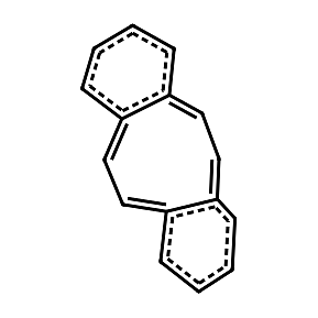 C1=c2ccccc2=CC=c2ccccc2=C1